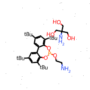 CC(C)(C)c1cc(C(C)(C)C)c2op(OCCN)oc3c(C(C)(C)C)cc(C(C)(C)C)cc3c2c1.NC(CO)(CO)CO